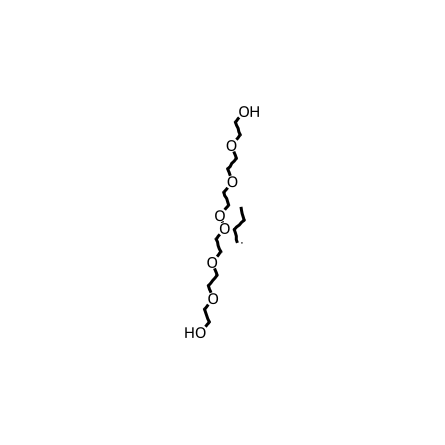 OCCOCCOCCOOCCOCCOCCO.[CH2]CCC